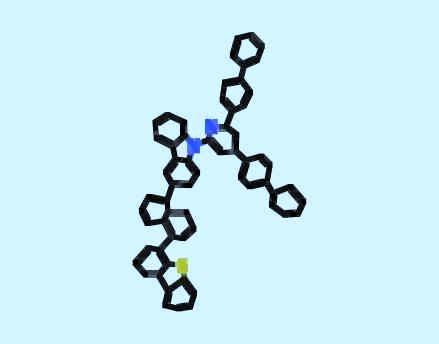 c1ccc(-c2ccc(-c3cc(-c4ccc(-c5ccccc5)cc4)nc(-n4c5ccccc5c5cc(-c6cccc7c(-c8cccc9c8sc8ccccc89)cccc67)ccc54)c3)cc2)cc1